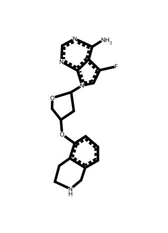 Nc1ncnc2c1c(F)cn2C1CC(Oc2cccc3c2CCNC3)CO1